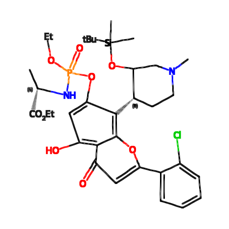 CCOC(=O)[C@H](C)NP(=O)(OCC)Oc1cc(O)c2c(=O)cc(-c3ccccc3Cl)oc2c1[C@H]1CCN(C)CC1O[Si](C)(C)C(C)(C)C